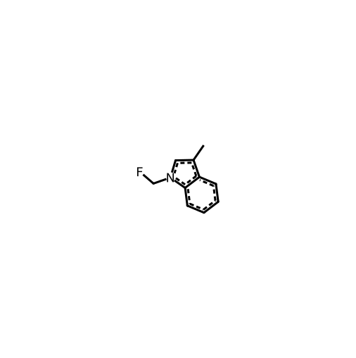 Cc1cn(CF)c2ccccc12